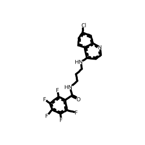 O=C(NCCCNc1ccnc2cc(Cl)ccc12)c1c(F)c(F)c(F)c(F)c1F